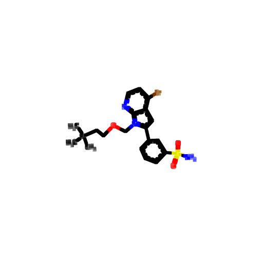 C[Si](C)(C)CCOCn1c(-c2cccc(S(N)(=O)=O)c2)cc2c(Br)ccnc21